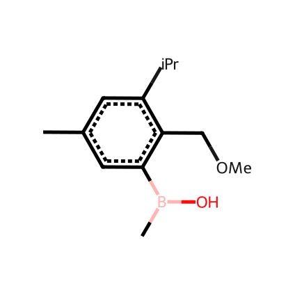 COCc1c(B(C)O)cc(C)cc1C(C)C